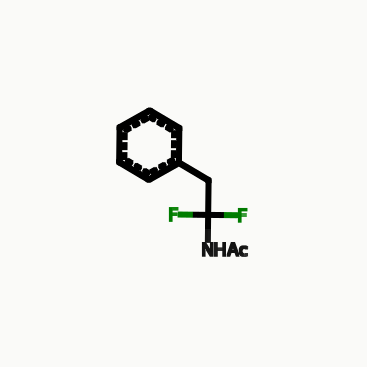 CC(=O)NC(F)(F)Cc1ccccc1